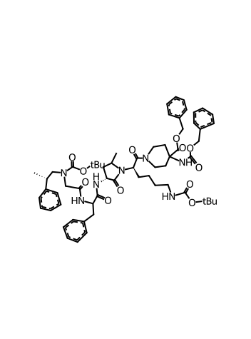 CC1C[C@@H](NC(=O)C(Cc2ccccc2)NC(=O)CN(C[C@@H](C)c2ccccc2)C(=O)OC(C)(C)C)C(=O)N1[C@H](CCCCNC(=O)OC(C)(C)C)C(=O)N1CCC(NC(=O)OCc2ccccc2)(C(=O)OCc2ccccc2)CC1